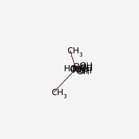 CCCCCCCCCCCCCCCCCCCCCCCCCC(=O)N[C@@H](CO[C@H]1CC(CO)[C@H](O)C(O)[C@@H]1O)[C@H](O)[C@H](O)CCCCCCCCCCCCCC